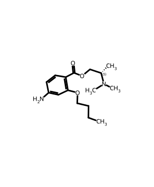 CCCCOc1cc(N)ccc1C(=O)OC[C@H](C)N(C)C